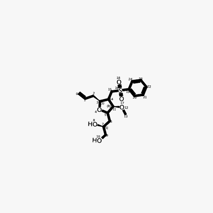 C=CC[C@@H]1OC(C[C@H](O)CO)[C@H](OC)C1CS(=O)(=O)c1ccccc1